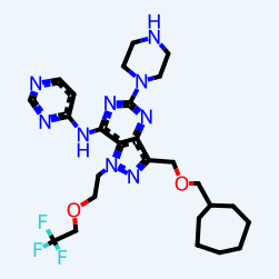 FC(F)(F)COCCn1nc(COCC2CCCCCC2)c2nc(N3CCNCC3)nc(Nc3ccncn3)c21